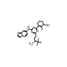 C[C@@H](CCc1nc(Nc2ccn3ccnc3c2)nc(C2=C(F)C(O)CCC2)n1)C(F)(F)F